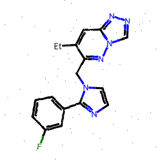 CCc1cc2nncn2nc1Cn1ccnc1-c1cccc(F)c1